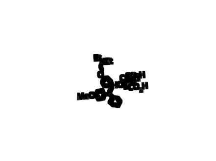 CCN(CC)CCOc1ccc(C=C(c2ccccc2)c2ccc(OC)cc2)cc1.O.O=C(O)CC(O)(CC(=O)O)C(=O)O